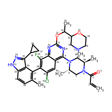 C=CC(=O)N1C[C@H](C)N(c2nc(OC(C)C3CN(C)CCO3)nc3c(F)c(-c4c(C)ccc5[nH]nc(C6CC6)c45)c(Cl)cc23)C[C@H]1C